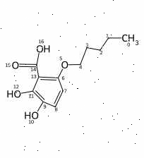 CCCCCOc1ccc(O)c(O)c1C(=O)O